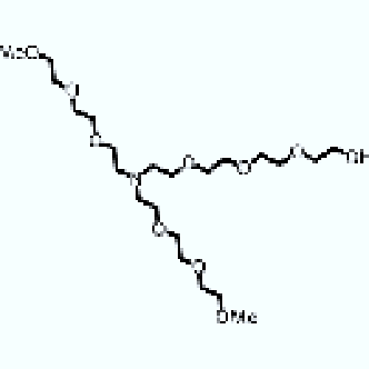 COCCOCCOCCN(CCOCCOCCOC)CCOCCOCCOCCO